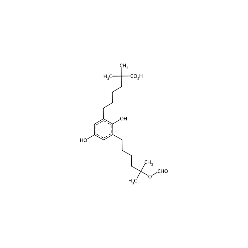 CC(C)(CCCCc1cc(O)cc(CCCCC(C)(C)C(=O)O)c1O)OC=O